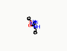 O=c1cc(NCCc2ccccc2)c2cncnc2n1OCc1ccccc1